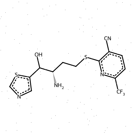 N#Cc1ccc(C(F)(F)F)nc1SCC[C@H](N)C(O)c1cncs1